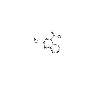 O=C(Cl)c1cc(C2CC2)nc2ccccc12